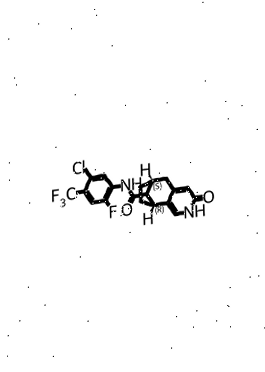 O=C(Nc1cc(Cl)c(C(F)(F)F)cc1F)C1[C@H]2CC[C@H]1c1c[nH]c(=O)cc1C2